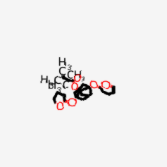 CC(C)C(C)(C)C(=O)OC12CC3CC(OC4CCCCO4)(C1)CC(OC1CCCCO1)(C3)C2